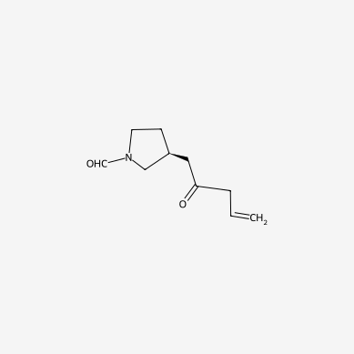 C=CCC(=O)C[C@@H]1CCN(C=O)C1